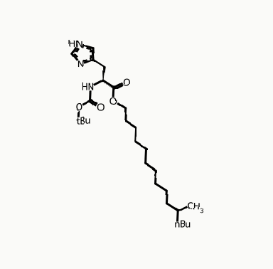 CCCCC(C)CCCCCCCCCCOC(=O)[C@H](Cc1c[nH]cn1)NC(=O)OC(C)(C)C